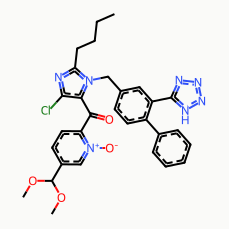 CCCCc1nc(Cl)c(C(=O)c2ccc(C(OC)OC)c[n+]2[O-])n1Cc1ccc(-c2ccccc2)c(-c2nnn[nH]2)c1